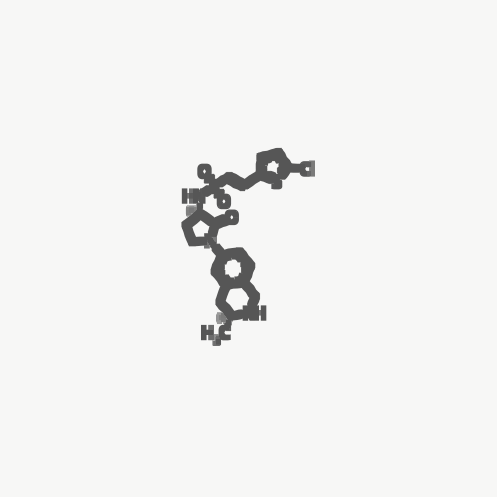 C[C@@H]1Cc2cc(N3CC[C@H](NS(=O)(=O)C=Cc4ccc(Cl)s4)C3=O)ccc2CN1